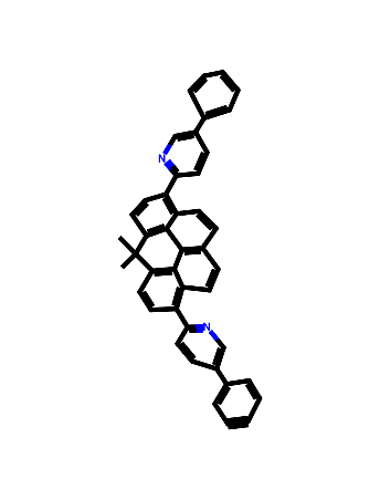 CC1(C)c2ccc(-c3ccc(-c4cc#ccc4)cn3)c3ccc4ccc5c(-c6ccc(-c7ccccc7)cn6)ccc1c5c4c23